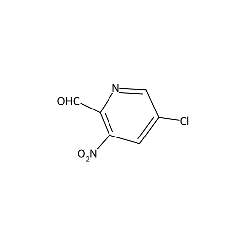 O=Cc1ncc(Cl)cc1[N+](=O)[O-]